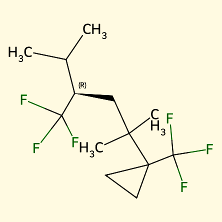 CC(C)[C@@H](CC(C)(C)C1(C(F)(F)F)CC1)C(F)(F)F